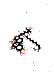 CCCCCC/C=C\CCCCCCCC(=O)OC(CCC(C)(C)O)[C@@H](C)[C@H]1CC[C@@]2(O)C3=CC(=O)[C@@H]4C[C@@H](O)[C@@H](O)C[C@]4(C)[C@H]3CC[C@]12C